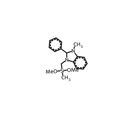 CO[Si](C)(CN1c2ccccc2N(C)C1c1ccccc1)OC